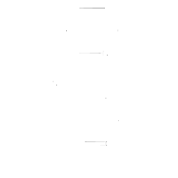 O=C([O-])CCCN1CCCCC1.[Na+]